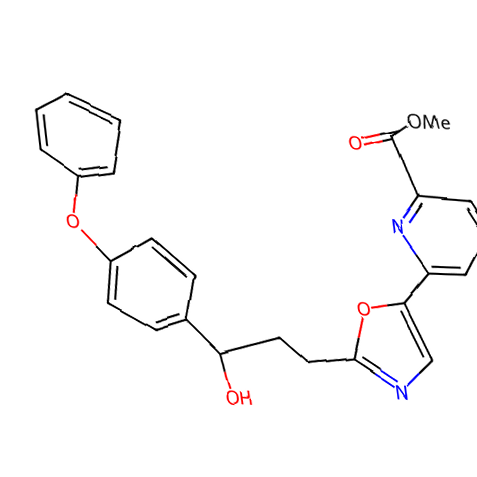 COC(=O)c1cccc(-c2cnc(CCC(O)c3ccc(Oc4ccccc4)cc3)o2)n1